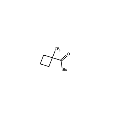 CC(C)(C)C(=O)C1(C(F)(F)F)CCC1